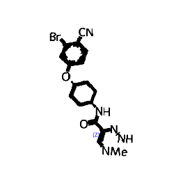 CN/C=C(\N=N)C(=O)N[C@H]1CC[C@H](Oc2ccc(C#N)c(Br)c2)CC1